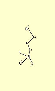 C[Si](C)(Cl)CCCBr